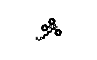 CCCCCC[C@H]([SiH2]c1ccccc1)[SiH](c1ccccc1)c1ccccc1